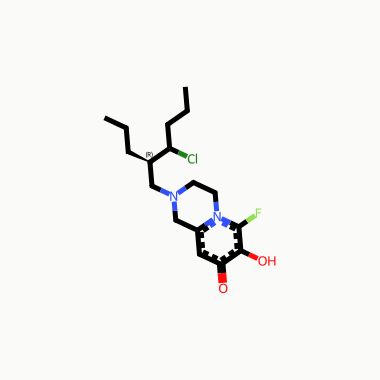 CCCC(Cl)[C@H](CCC)CN1CCn2c(cc(=O)c(O)c2F)C1